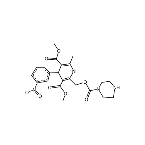 COC(=O)C1=C(C)NC(COC(=O)N2CCNCC2)=C(C(=O)OC)C1c1cccc([N+](=O)[O-])c1